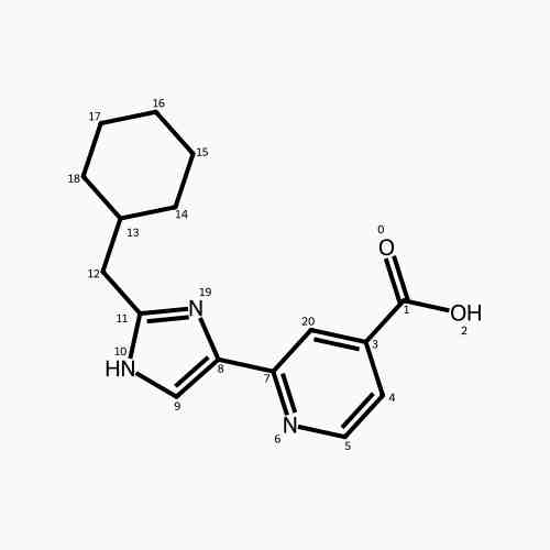 O=C(O)c1ccnc(-c2c[nH]c(CC3CCCCC3)n2)c1